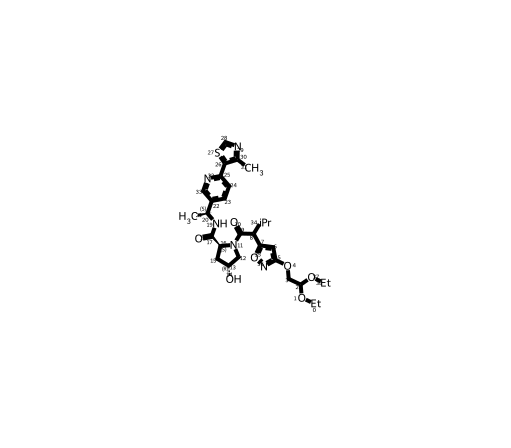 CCOC(COc1cc(C(C(=O)N2C[C@H](O)C[C@H]2C(=O)N[C@@H](C)c2ccc(-c3scnc3C)nc2)C(C)C)on1)OCC